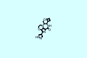 COCC1C(C2CCC2)NC(=O)c2sc(-c3cn[nH]c3)c3c2N1CCO3